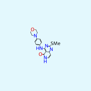 CSc1nc(Nc2ccc(N3CCOCC3)cc2)c2c(=O)[nH]ccc2n1